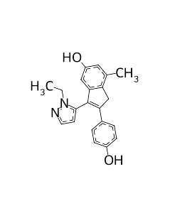 CCn1nccc1C1=C(c2ccc(O)cc2)Cc2c(C)cc(O)cc21